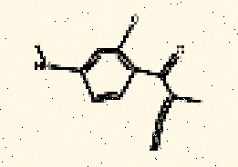 C=C=C(C)C(=O)c1ccc(NC)cc1O